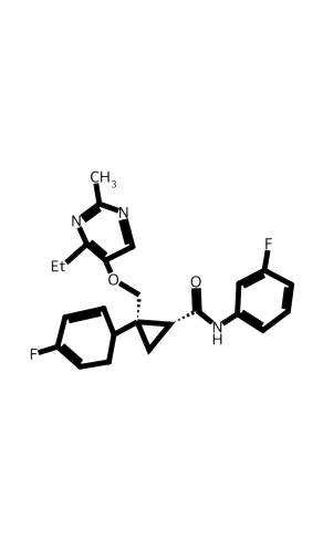 CCc1nc(C)ncc1OC[C@@]1(C2C=CC(F)=CC2)C[C@H]1C(=O)Nc1cccc(F)c1